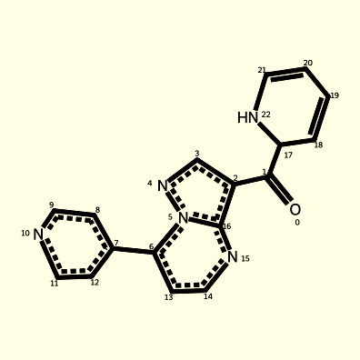 O=C(c1cnn2c(-c3ccncc3)ccnc12)C1C=CC=CN1